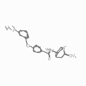 CC1CC2CCN1CC2NC(=O)c1ccc(Oc2cccc(N)c2)cc1